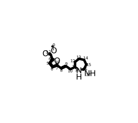 COC(=O)c1ccc(/C=C/CC2CCCCC(=N)N2)o1